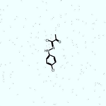 CC(=O)/C(Cl)=N/Nc1ccc(Cl)cc1